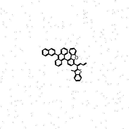 C=C/C=C(\c1sc2ccccc2c1C)c1ccc(-c2c3ccccc3c(-c3ccc4ccccc4c3)c3ccccc23)c2c1oc1ccccc12